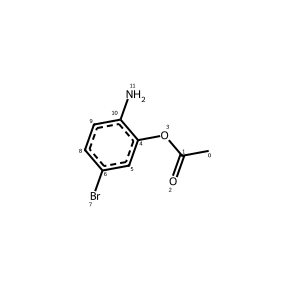 CC(=O)Oc1cc(Br)ccc1N